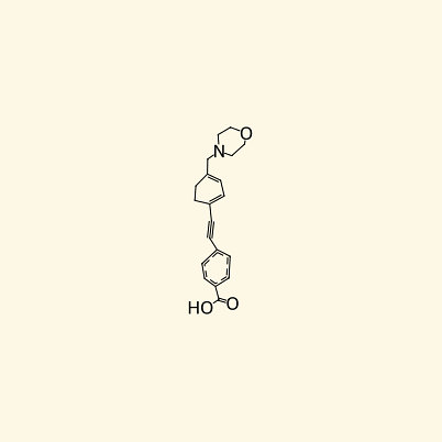 O=C(O)c1ccc(C#CC2=CC=C(CN3CCOCC3)CC2)cc1